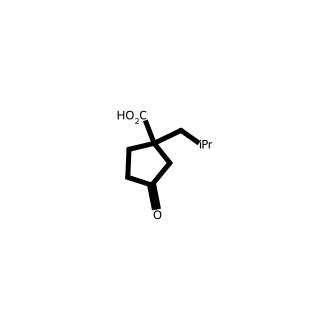 CC(C)CC1(C(=O)O)CCC(=O)C1